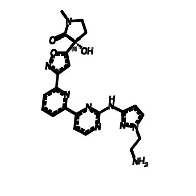 CN1CC[C@@](O)(c2cc(-c3cccc(-c4ccnc(Nc5ccn(CCN)n5)n4)n3)no2)C1=O